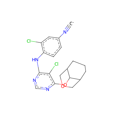 [C-]#[N+]c1ccc(Nc2ncnc(OC3C4CCCC3COC4)c2Cl)c(Cl)c1